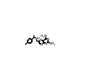 Cc1ccc(C(C)NCc2cnc3nc(N)nc(N)c3n2)cc1